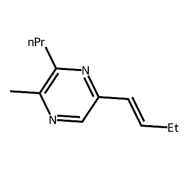 CC/C=C/c1cnc(C)c(CCC)n1